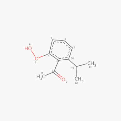 CC(=O)c1c(OO)cccc1C(C)C